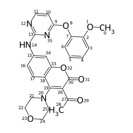 COc1ccccc1Oc1ccnc(Nc2ccc3c(N4CCOCC4)c(C(C)=O)c(=O)oc3c2)n1